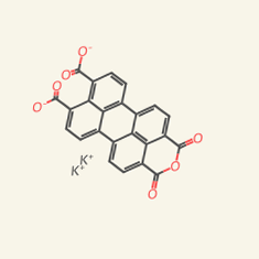 O=C([O-])c1ccc2c3ccc4c5c(ccc(c6ccc(C(=O)[O-])c1c26)c53)C(=O)OC4=O.[K+].[K+]